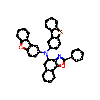 c1ccc(-c2nc3c(N(c4ccc5oc6ccccc6c5c4)c4ccc5sc6ccccc6c5c4)cc4ccccc4c3o2)cc1